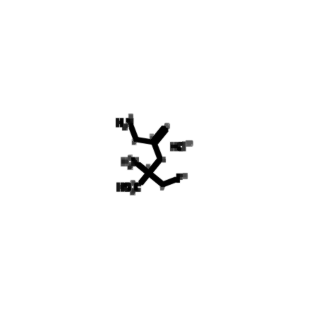 C=C(CN)CC(N)(CF)C(=O)O.Cl